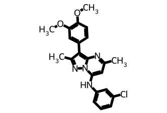 COc1ccc(-c2c(C)nn3c(Nc4cccc(Cl)c4)cc(C)nc23)cc1OC